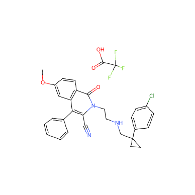 COc1ccc2c(=O)n(CCNCC3(c4ccc(Cl)cc4)CC3)c(C#N)c(-c3ccccc3)c2c1.O=C(O)C(F)(F)F